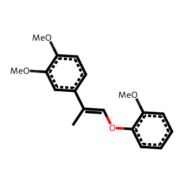 COc1ccc(C(C)=COc2ccccc2OC)cc1OC